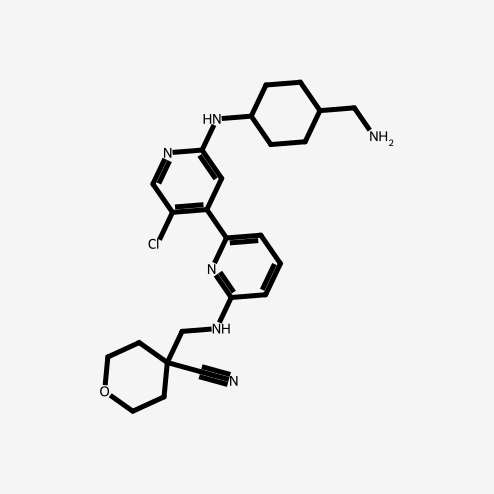 N#CC1(CNc2cccc(-c3cc(NC4CCC(CN)CC4)ncc3Cl)n2)CCOCC1